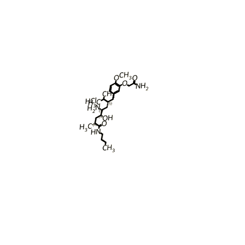 CCCCNC(=O)[C@H](C)C[C@H](O)[C@@H](N)C[C@H](Cc1ccc(OC)c(OCC(N)=O)c1)C(C)C.Cl